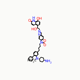 N[C@H]1CC[C@H](N(C(=O)O)c2cc(CCCCn3c(=O)oc4cc(CNCC(O)c5ccc(O)c6[nH]c(=O)ccc56)ccc43)ccc2-c2ccccc2)CC1